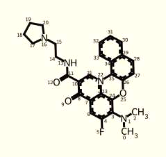 CN(C)c1c(F)cc2c(=O)c(C(=O)NCCN3CCCC3)cn3c2c1Oc1ccc2ccccc2c1-3